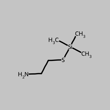 C[Si](C)(C)SCCN